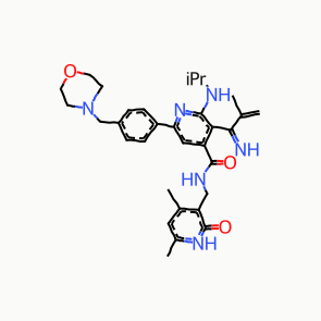 C=C(C)C(=N)c1c(C(=O)NCc2c(C)cc(C)[nH]c2=O)cc(-c2ccc(CN3CCOCC3)cc2)nc1NC(C)C